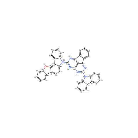 c1ccc2c(c1)-c1nc(-n3c4ccccc4c4ccccc43)nc3nc(-n4c5ccccc5c5c6oc7ccccc7c6ccc54)nc-2c13